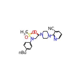 CCCCc1ccc(N(CC(=O)N2CCN(c3ncccc3C#N)CC2)S(C)(=O)=O)cc1